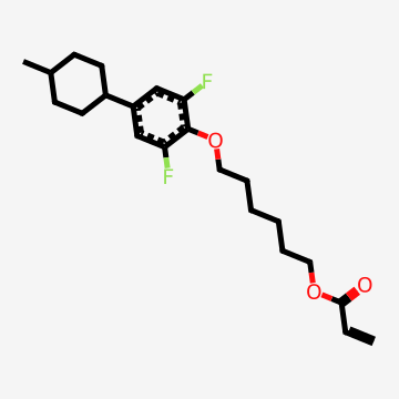 C=CC(=O)OCCCCCCOc1c(F)cc(C2CCC(C)CC2)cc1F